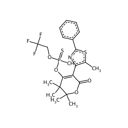 Cc1sc(-c2ccccc2)nc1C1=C(OP(C)(=S)OCC(F)(F)F)C(C)(C)C(C)(C)OC1=O